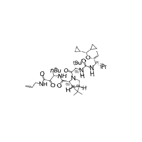 C=CCNC(=O)C(=O)C(CCCC)NC(=O)[C@@H]1[C@@H]2[C@H](CN1C(=O)[C@@H](NC(=O)N[C@H](C(=CC)OC(C1CC1)C1CC1)C(C)C)C(C)(C)C)C2(C)C